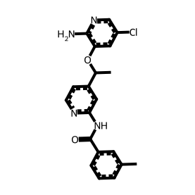 Cc1cccc(C(=O)Nc2cc(C(C)Oc3cc(Cl)cnc3N)ccn2)c1